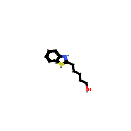 OCCCCCc1nc2ccccc2s1